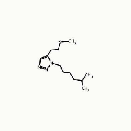 CSCCc1cnnn1CCCCC(C)C